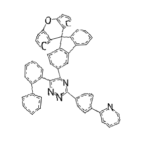 c1ccc(-c2ccccc2-c2nnc(-c3ccc(-c4ccccn4)cc3)nc2-c2ccc3c(c2)-c2ccccc2C32c3ccccc3Oc3ccccc32)cc1